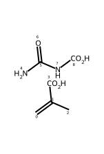 C=C(C)C(=O)O.NC(=O)NC(=O)O